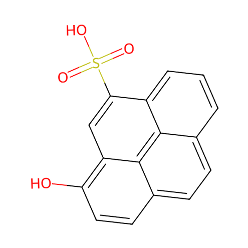 O=S(=O)(O)c1cc2c(O)ccc3ccc4cccc1c4c32